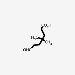 CC(C)(CCC=O)CCC(=O)O